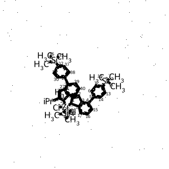 CC1=Cc2c(-c3ccc([Si](C)(C)C)cc3)cccc2[CH]1[Zr]([Cl])([Cl])([CH]1C(C(C)C)=Cc2c(-c3ccc([Si](C)(C)C)cc3)cccc21)[SiH](C)C